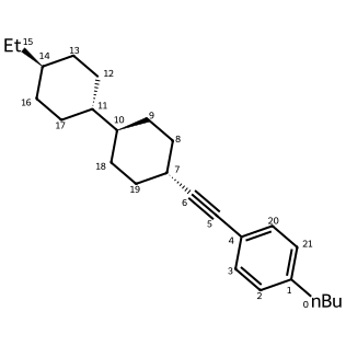 CCCCc1ccc(C#C[C@H]2CC[C@H]([C@H]3CC[C@H](CC)CC3)CC2)cc1